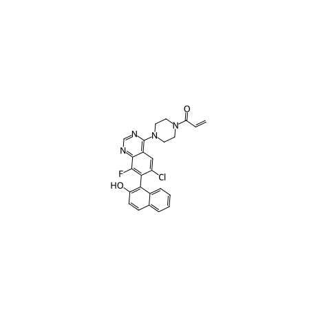 C=CC(=O)N1CCN(c2ncnc3c(F)c(-c4c(O)ccc5ccccc45)c(Cl)cc23)CC1